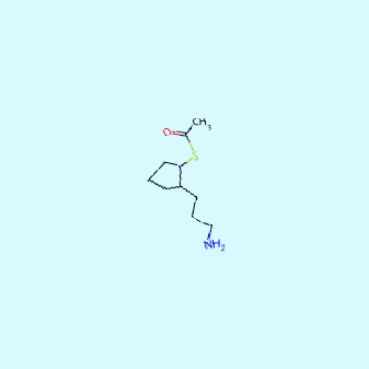 CC(=O)SC1CCCC1CCCN